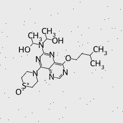 CC(C)CCOc1ncnc2c(N3CC[S+]([O-])CC3)nc(N(C(C)O)C(C)O)nc12